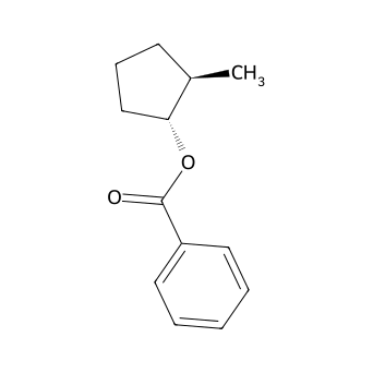 C[C@@H]1CCC[C@H]1OC(=O)c1ccccc1